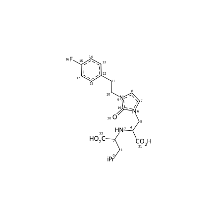 CC(C)CC(NC(Cn1ccn(CCc2ccc(F)cc2)c1=O)C(=O)O)C(=O)O